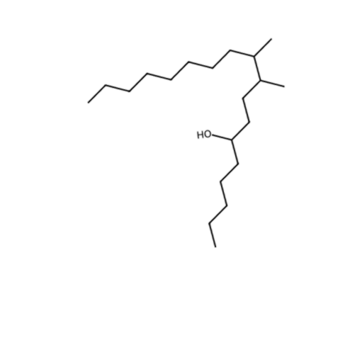 CCCCCCCCC(C)C(C)CCC(O)CCCCC